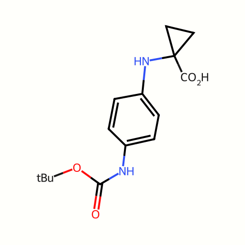 CC(C)(C)OC(=O)Nc1ccc(NC2(C(=O)O)CC2)cc1